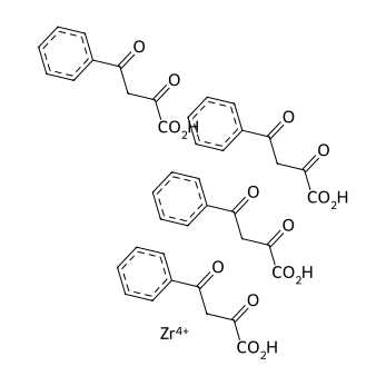 O=C(O)C(=O)CC(=O)c1ccccc1.O=C(O)C(=O)CC(=O)c1ccccc1.O=C(O)C(=O)CC(=O)c1ccccc1.O=C(O)C(=O)CC(=O)c1ccccc1.[Zr+4]